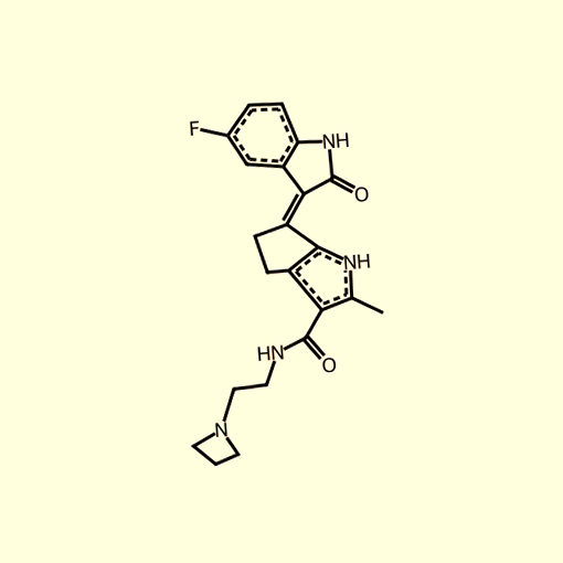 Cc1[nH]c2c(c1C(=O)NCCN1CCC1)CC/C2=C1/C(=O)Nc2ccc(F)cc21